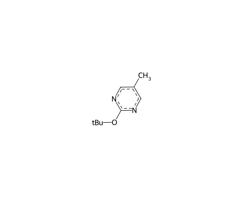 Cc1cnc(OC(C)(C)C)nc1